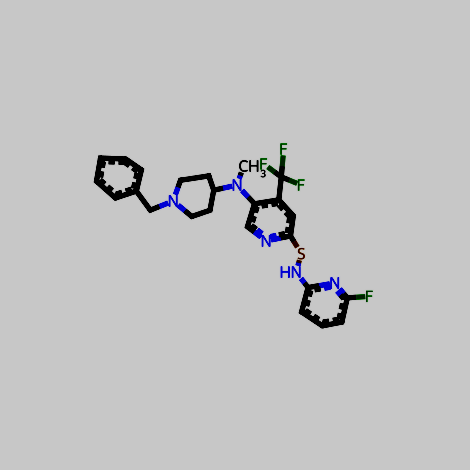 CN(c1cnc(SNc2cccc(F)n2)cc1C(F)(F)F)C1CCN(Cc2ccccc2)CC1